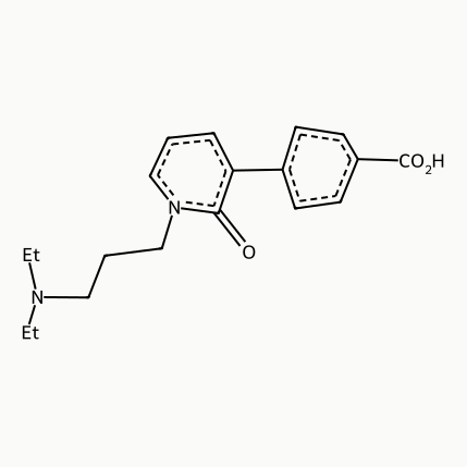 CCN(CC)CCCn1cccc(-c2ccc(C(=O)O)cc2)c1=O